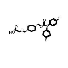 O=C(O)COC[C@H]1CC[C@H](COC(=O)N(c2ccc(F)cc2)c2ccc(F)cc2)CC1